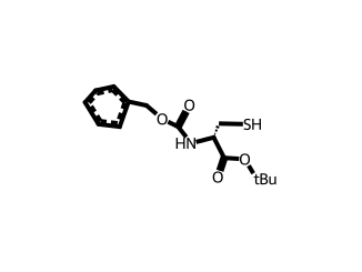 CC(C)(C)OC(=O)[C@@H](CS)NC(=O)OCc1ccccc1